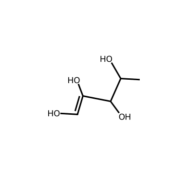 CC(O)C(O)/C(O)=C/O